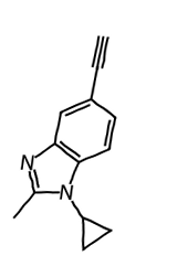 C#Cc1ccc2c(c1)nc(C)n2C1CC1